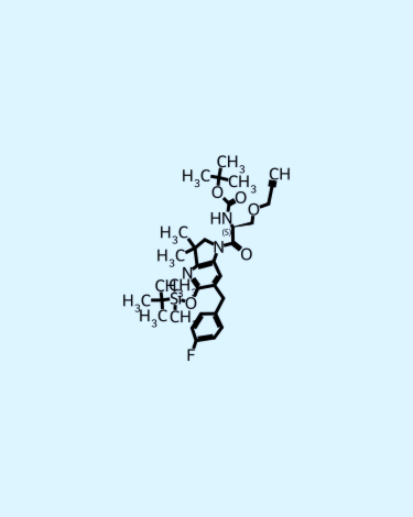 C#CCOC[C@H](NC(=O)OC(C)(C)C)C(=O)N1CC(C)(C)c2nc(O[Si](C)(C)C(C)(C)C)c(Cc3ccc(F)cc3)cc21